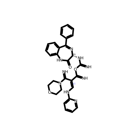 N=C(N[C@H]1N=C(c2ccccc2)c2ccccc2NC1=O)OC(=N)/C(=C/Nc1ccccn1)C(=N)N1CCOCC1